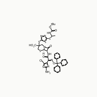 CC(NC(=O)OC(C)(C)C)Sc1nnc(SC2(C(=O)O)CS[C@@H]3[C@H](NC(=O)C(=NOC(c4ccccc4)(c4ccccc4)c4ccccc4)c4nc(N)sc4Cl)C(=O)N3C2)s1